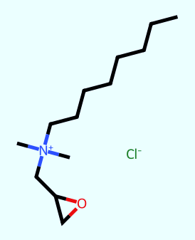 CCCCCCCC[N+](C)(C)CC1CO1.[Cl-]